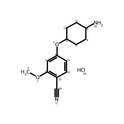 COc1cc(OC2CCC(N)CC2)ccc1C#N.Cl